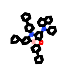 c1ccc(-c2ccc(N3c4cc(-c5ccccc5)ccc4B4c5ccc(-c6ccccc6)cc5Oc5cc(N(c6ccccc6)c6cccc7ccccc67)cc3c54)cc2)cc1